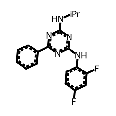 CC(C)Nc1nc(Nc2ccc(F)cc2F)nc(-c2ccccc2)n1